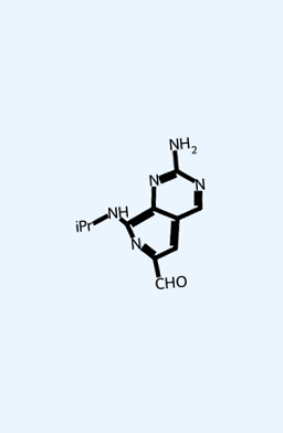 CC(C)Nc1nc(C=O)cc2cnc(N)nc12